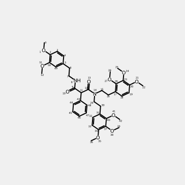 COc1ccc(CCNC(=O)C(C(=O)N(CCc2ccc(OC)c(OC)c2OC)CCc2ccc(OC)c(OC)c2OC)c2ccccc2)cc1OC